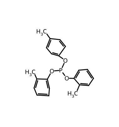 Cc1ccc(OP(Oc2ccccc2C)Oc2ccccc2C)cc1